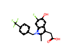 Cc1c(CC(=O)O)c2cc(O)c(F)cc2n1Cc1ccc(C(F)(F)F)cc1